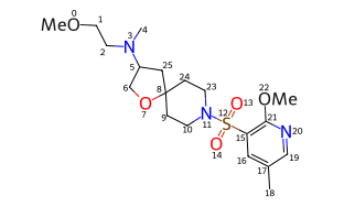 COCCN(C)C1COC2(CCN(S(=O)(=O)c3cc(C)cnc3OC)CC2)C1